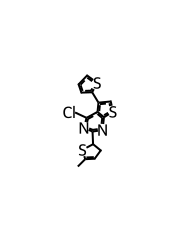 CC1=CCC(c2nc(Cl)c3c(-c4cccs4)csc3n2)S1